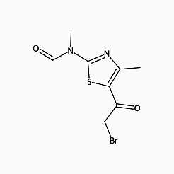 Cc1nc(N(C)C=O)sc1C(=O)CBr